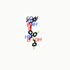 C[C@H](NC(=O)[C@H](NC(=O)COc1ccc([C@]2(c3ccc(F)cc3)NC(=O)[C@@H]2SCC(O)c2ccc(F)cc2)cc1)c1ccccc1)C(=O)O